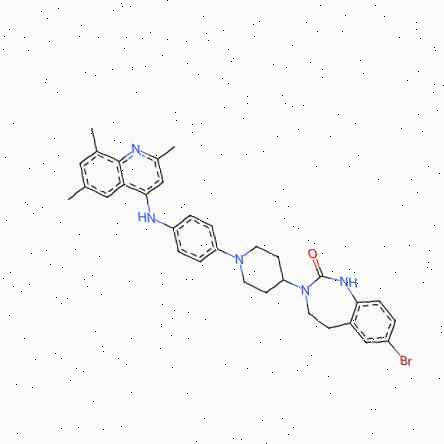 Cc1cc(C)c2nc(C)cc(Nc3ccc(N4CCC(N5CCc6cc(Br)ccc6NC5=O)CC4)cc3)c2c1